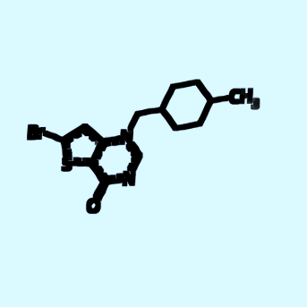 CC1CCC(Cn2cnc(=O)c3sc(Br)cc32)CC1